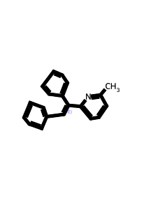 Cc1cccc(/C(=C/c2ccccc2)c2ccccc2)n1